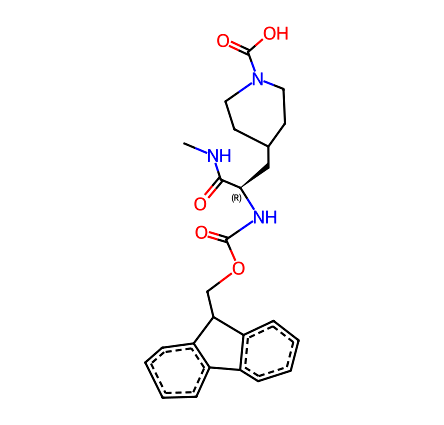 CNC(=O)[C@@H](CC1CCN(C(=O)O)CC1)NC(=O)OCC1c2ccccc2-c2ccccc21